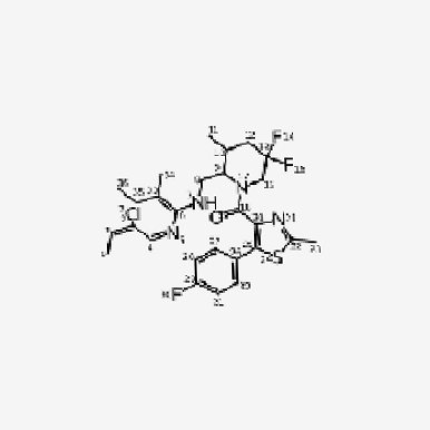 C\C=C(Cl)/C=N\C(NCC1C(C)CC(F)(F)CN1C(=O)c1nc(C)sc1-c1ccc(F)cc1)=C(\C)CC